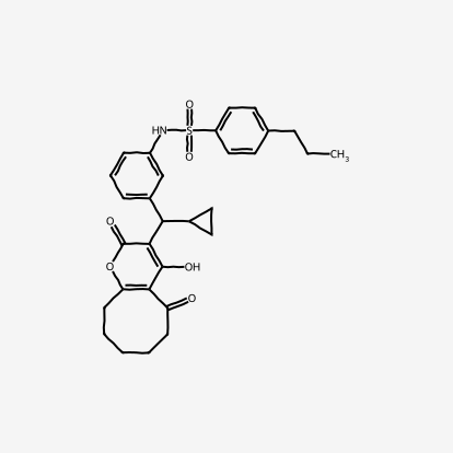 CCCc1ccc(S(=O)(=O)Nc2cccc(C(c3c(O)c4c(oc3=O)CCCCCC4=O)C3CC3)c2)cc1